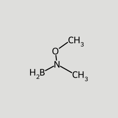 BN(C)OC